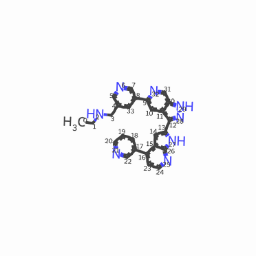 CCNCc1cncc(-c2cc3c(-c4cc5c(-c6cccnc6)ccnc5[nH]4)n[nH]c3cn2)c1